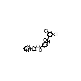 O=C(OC1CCN(c2ncccn2)C1)c1ccc2nc(-c3cc(Cl)cc(Cl)c3)oc2c1